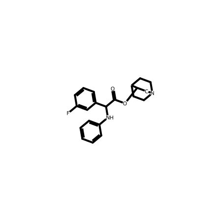 O=C(OC1CN2CCC1CC2)C(Nc1ccccc1)c1cccc(F)c1